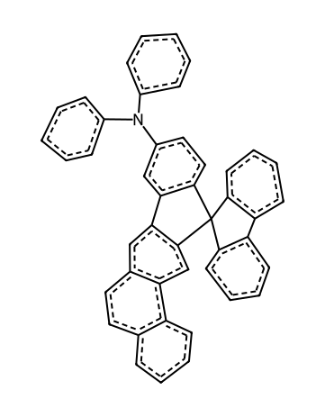 c1ccc(N(c2ccccc2)c2ccc3c(c2)-c2cc4ccc5ccccc5c4cc2C32c3ccccc3-c3ccccc32)cc1